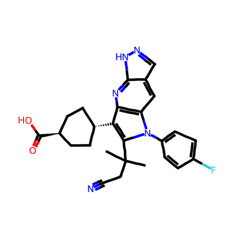 CC(C)(CC#N)c1c([C@H]2CC[C@H](C(=O)O)CC2)c2nc3[nH]ncc3cc2n1-c1ccc(F)cc1